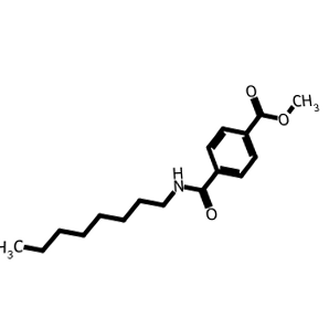 CCCCCCCCNC(=O)c1ccc(C(=O)OC)cc1